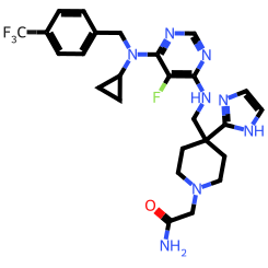 NC(=O)CN1CCC(CNc2ncnc(N(Cc3ccc(C(F)(F)F)cc3)C3CC3)c2F)(c2ncc[nH]2)CC1